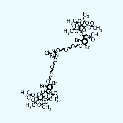 CC(=O)OC[C@H]1O[C@@H](Oc2cn(C(C)=O)c3cc(Br)c(OCCOCCOCCOc4nc(Cl)nc(OCCOCCOCCOc5c(Br)cc6c(c(O[C@@H]7O[C@H](COC(C)=O)[C@@H](OC(C)=O)[C@H](OC(C)=O)[C@H]7OC(C)=O)cn6C(C)=O)c5Br)n4)c(Br)c23)[C@H](OC(C)=O)[C@@H](OC(C)=O)[C@@H]1OC(C)=O